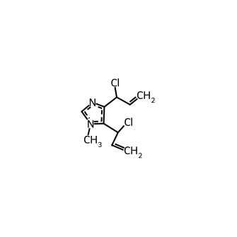 C=CC(Cl)c1ncn(C)c1C(Cl)C=C